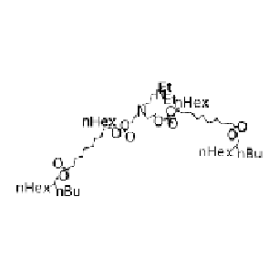 CCCCCCC(CCCC)COC(=O)CCCCCCCCC(CCCCCC)OC(=O)OCCN(CCCN(CC)CC)CCOC(=O)OC(CCCCCC)CCCCCCCCC(=O)OCC(CCCC)CCCCCC